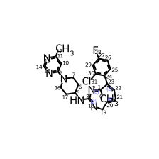 CC1=N\C(NC2CCN(c3cc(C)ncn3)CC2)=N/C/C=C/C=C\1c1ccc(F)cc1Cl